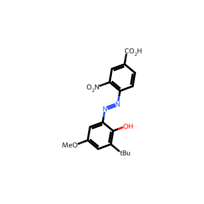 COc1cc(N=Nc2ccc(C(=O)O)cc2[N+](=O)[O-])c(O)c(C(C)(C)C)c1